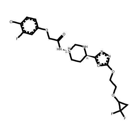 O=C(COc1ccc(Cl)c(F)c1)N[Si@H]1CC[C@H](c2nnc(OCCOC3CC3(F)F)o2)NC1